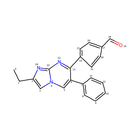 CCc1cn2cc(-c3ccccc3)c(-c3ccc(C=O)cc3)nc2n1